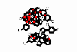 OC(OC(c1cccnc1)(c1c(-c2ccc(Cl)cc2)ccn1-c1cccc(Cl)c1)C(O)(c1cccnc1)c1c(-c2cccc(Cl)c2)ccn1-c1cccc(Cl)c1)(c1cccnc1)c1c(-c2ccccc2F)ccn1-c1cccc(Cl)c1.OC(c1cccnc1)(c1cccnc1-c1c(-c2ccc(F)cc2Cl)ccn1-c1cccc(Cl)c1)c1c(-c2ccccc2Cl)ccn1-c1cccc(Cl)c1